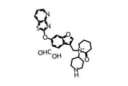 O=C1CCCC[N+]1(Cc1coc2cc(Oc3nc4ncccc4s3)ccc12)C1CCNCC1.O=CO